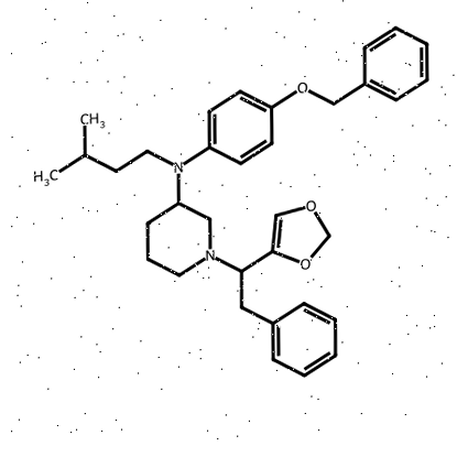 CC(C)CCN(c1ccc(OCc2ccccc2)cc1)C1CCCN(C(Cc2ccccc2)C2=COCO2)C1